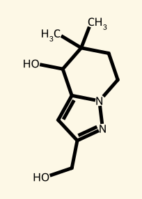 CC1(C)CCn2nc(CO)cc2C1O